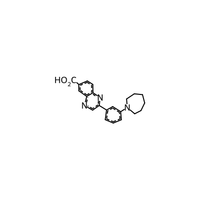 O=C(O)c1ccc2nc(-c3cccc(N4CCCCCC4)c3)cnc2c1